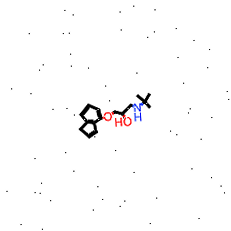 CC(C)(C)NCC(O)COc1cccc2c1C=CC2